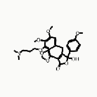 COc1ccc(C2(O)OC(=O)C(C3=COCO3)=C2Cc2cc(OC)c(OC)c(OCCCN(C)C)c2)cc1